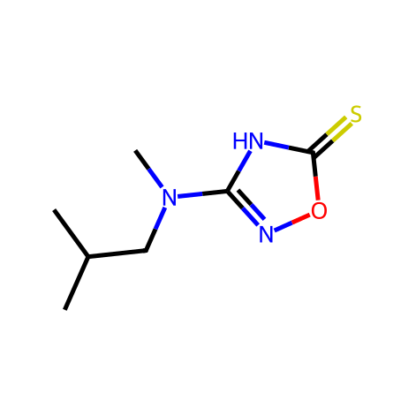 CC(C)CN(C)c1noc(=S)[nH]1